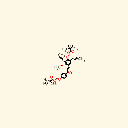 C/C=C/Cc1cc(/C=C/C(=O)c2ccc(OCOC(=O)C(C)(C)C)cc2)c(OCC)c(C/C=C/C)c1OCOC(=O)C(C)(C)C